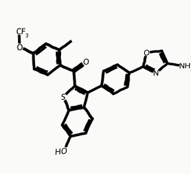 Cc1cc(OC(F)(F)F)ccc1C(=O)c1sc2cc(O)ccc2c1-c1ccc(-c2nc(N)co2)cc1